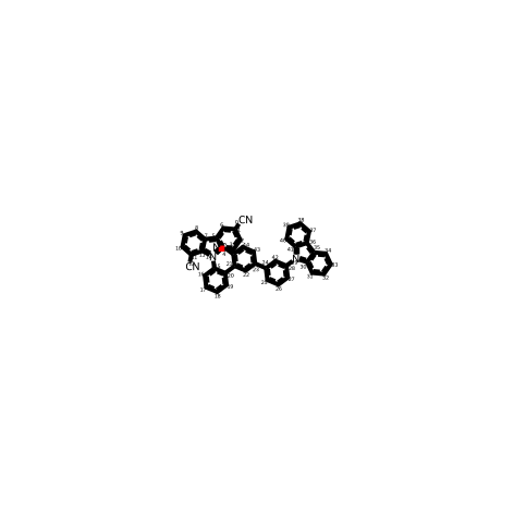 N#Cc1ccc2c(c1)c1cccc(C#N)c1n2-c1ccccc1-c1cc(-c2cccc(-n3c4ccccc4c4ccccc43)c2)ccc1C#N